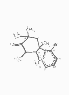 CC1C(=O)C(C)(C)CC(C)(c2ncccc2Br)C1C